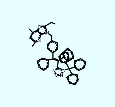 CCc1nc2c(C)cc(C)nc2n1Cc1ccc(/C(=C(\c2ccccc2)c2nnnn2C(c2ccccc2)(c2ccccc2)c2ccccc2)c2ccccc2)cc1